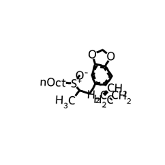 C=C.C=C.CCCCCCCC[S+]([O-])C(C)Cc1ccc2c(c1)OCO2